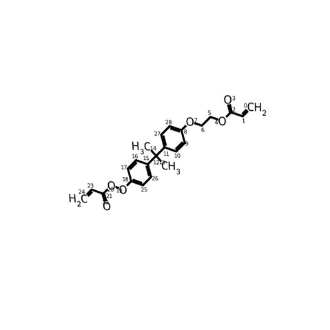 C=CC(=O)OCCOc1ccc(C(C)(C)c2ccc(OOC(=O)C=C)cc2)cc1